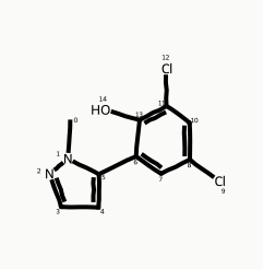 Cn1nccc1-c1cc(Cl)cc(Cl)c1O